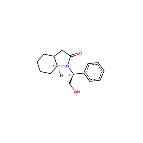 O=C1CC2CCCC[C@@H]2N1[C@H](CO)c1ccccc1